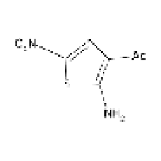 CC(=O)c1cc([N+](=O)[O-])sc1N